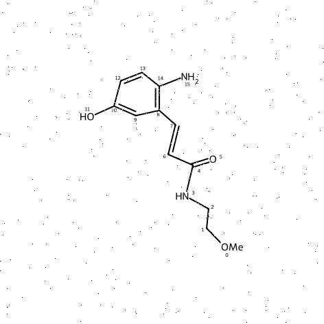 COCCNC(=O)/C=C/c1cc(O)ccc1N